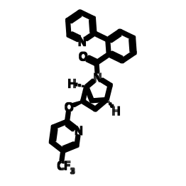 O=C(c1ccccc1-c1ccccn1)N1C[C@H]2C[C@@H](Oc3ccc(C(F)(F)F)cn3)[C@@H]1C2